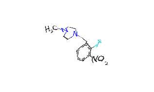 CN1CCN(Cc2cccc([N+](=O)[O-])c2F)CC1